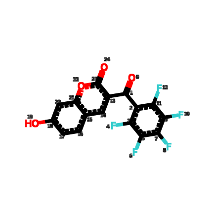 O=C(c1c(F)c(F)c(F)c(F)c1F)c1cc2ccc(O)cc2oc1=O